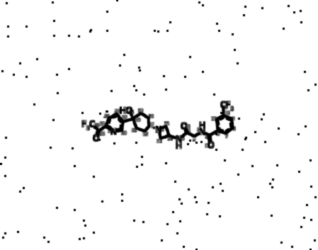 O=C(CNC(=O)c1cccc(C(F)(F)F)c1)NC1CN([C@H]2CC[C@@](O)(c3ccc(C(=O)C(F)(F)F)nc3)CC2)C1